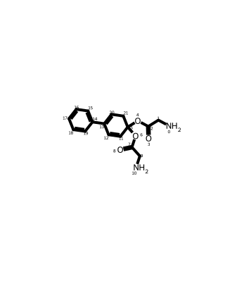 NCC(=O)OC1(OC(=O)CN)C=CC(c2ccccc2)=CC1